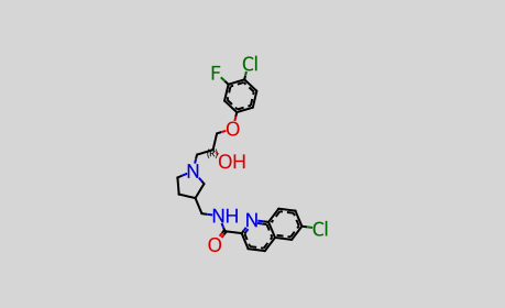 O=C(NCC1CCN(C[C@@H](O)COc2ccc(Cl)c(F)c2)C1)c1ccc2cc(Cl)ccc2n1